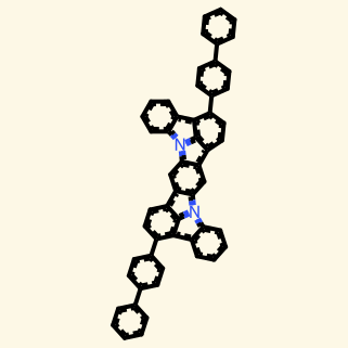 c1ccc(-c2ccc(-c3ccc4c5cc6c(cc5n5c7ccccc7c3c45)c3ccc(-c4ccc(-c5ccccc5)cc4)c4c5ccccc5n6c34)cc2)cc1